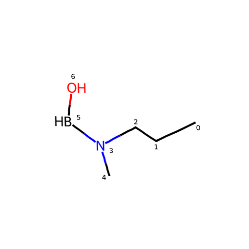 CCCN(C)BO